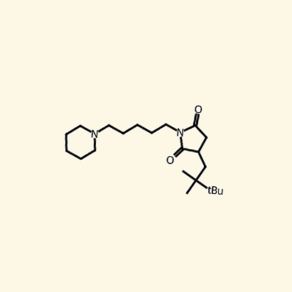 CC(C)(C)C(C)(C)CC1CC(=O)N(CCCCCN2CCCCC2)C1=O